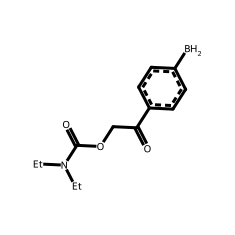 Bc1ccc(C(=O)COC(=O)N(CC)CC)cc1